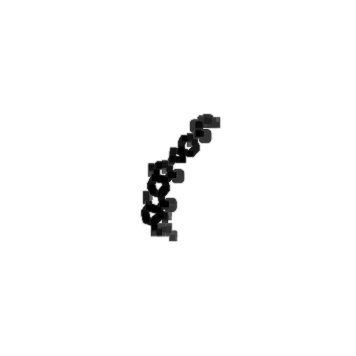 CC(C)(C)OC(=O)N1CCC2(CC1)CC(n1cnc3ccc(C(=O)c4c(F)ccc(N)c4F)cc3c1=O)C2